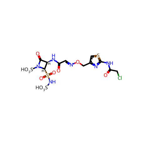 O=C(C=NOCc1csc(NC(=O)CCl)n1)N[C@@H]1C(=O)N(S(=O)(=O)O)[C@@H]1S(=O)(=O)NS(=O)(=O)O